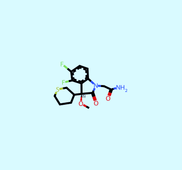 CO[C@]1(C2CCCSC2)C(=O)N(CC(N)=O)c2ccc(F)c(F)c21